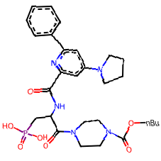 CCCCOC(=O)N1CCN(C(=O)C(CP(=O)(O)O)NC(=O)c2cc(N3CCCC3)cc(-c3ccccc3)n2)CC1